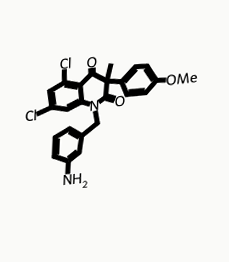 COc1ccc(C2(C)C(=O)c3c(Cl)cc(Cl)cc3N(Cc3cccc(N)c3)C2=O)cc1